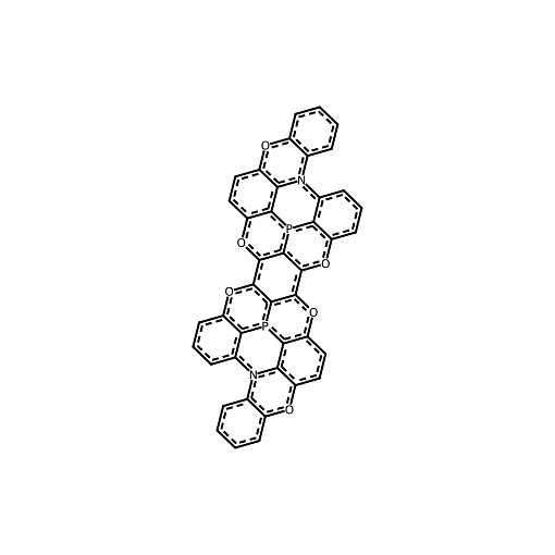 c1ccc2c(c1)oc1ccc3oc4c5oc6cccc7c6p6c5c(oc5ccc8oc9ccccc9n7c8c56)c5oc6cccc7c6p(c54)c3c1n27